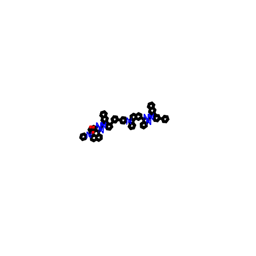 c1ccc(-c2ccc3c(c2)c2cc4ccccc4cc2n3-c2nc(-c3ccc4ccc5c(c4c3)c3ccccc3n5-c3ccc(-c4cccc(-c5cccc6c5c5cc7ccccc7cc5n6-c5nc(-c6cccc7ccc8c(c9ccccc9n8-c8ccccc8)c67)c6ccccc6n5)c4)cc3)c3ccccc3n2)cc1